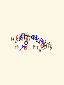 CC(=O)N1c2ccc(-c3cnn(C4CCN(C(=O)OC(C)(C)C)CC4)c3)c(Oc3ccc(C(N)=O)cc3)c2CC[C@@H]1C